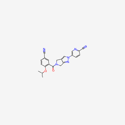 CC(C)Oc1ccc(C#N)cc1C(=O)N1Cc2cn(-c3ccc(C#N)nc3)nc2C1